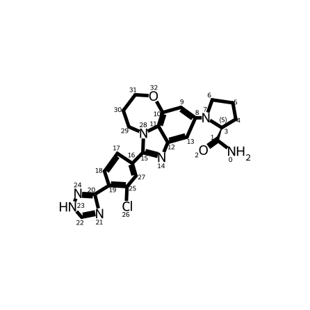 NC(=O)[C@@H]1CCCN1c1cc2c3c(c1)nc(-c1ccc(-c4nc[nH]n4)c(Cl)c1)n3CCCO2